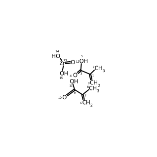 C=C(C)C(=O)O.C=C(C)C(=O)O.[O]=[Zr]([OH])[OH]